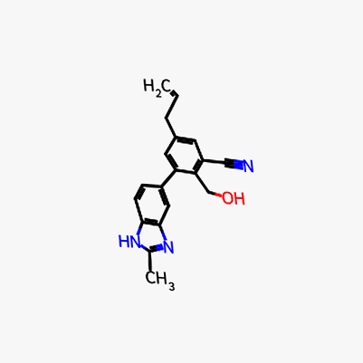 C=CCc1cc(C#N)c(CO)c(-c2ccc3[nH]c(C)nc3c2)c1